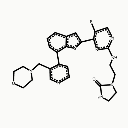 O=C1NCCN1CCNc1ncc(F)c(-c2cc3cccc(-c4ccncc4CN4CCOCC4)c3s2)n1